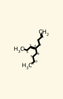 C=CCCC(=CCC)CCCC